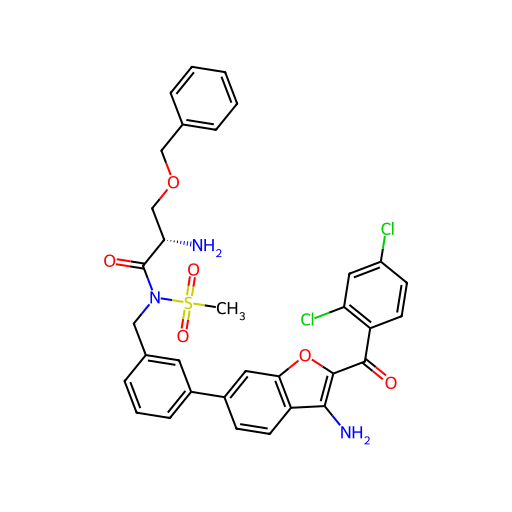 CS(=O)(=O)N(Cc1cccc(-c2ccc3c(N)c(C(=O)c4ccc(Cl)cc4Cl)oc3c2)c1)C(=O)[C@@H](N)COCc1ccccc1